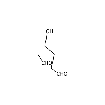 CC=O.O=CCCCO